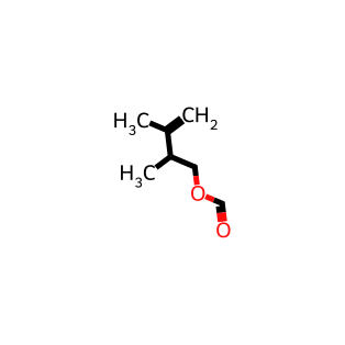 C=C(C)C(C)COC=O